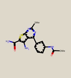 COC(=O)Nc1cccc(-c2nc(SC)nc3sc(C(N)=O)c(N)c23)c1